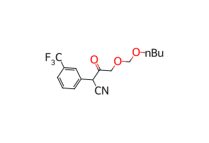 CCCCOCOCC(=O)C(C#N)c1cccc(C(F)(F)F)c1